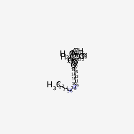 CCCCC/C=C\C/C=C\CCCCCCCCOOC(=O)C(C)(Cc1ccccc1)CN(C)C